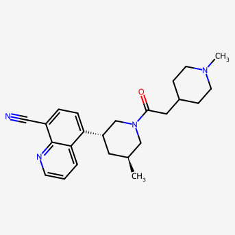 C[C@H]1C[C@H](c2ccc(C#N)c3ncccc23)CN(C(=O)CC2CCN(C)CC2)C1